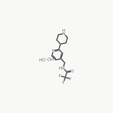 Cl.Cl.O=C(NCc1ccnc(C2CCNCC2)c1)C(F)(F)F